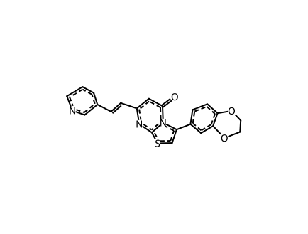 O=c1cc(/C=C/c2cccnc2)nc2scc(-c3ccc4c(c3)OCCO4)n12